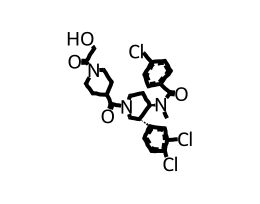 CN(C(=O)c1ccc(Cl)cc1)[C@@H]1CCN(C(=O)C2CCN(C(=O)CO)CC2)C[C@H]1c1ccc(Cl)c(Cl)c1